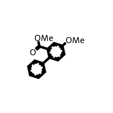 COC(=O)c1cc(OC)ccc1-c1ccccc1